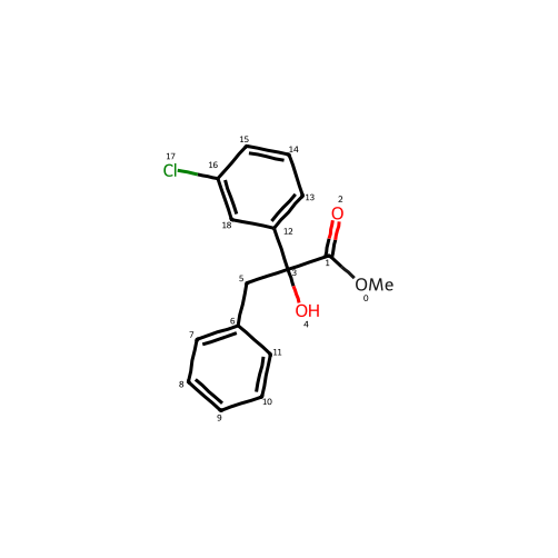 COC(=O)C(O)(Cc1ccccc1)c1cccc(Cl)c1